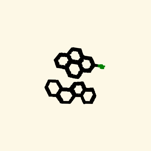 Brc1cc2ccc3cccc4ccc(c1)c2c34.C1=CCc2c3c(ccc2=C1)=C1CCC=CC1=CC3